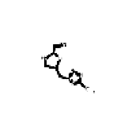 Cc1nnn(CC2CNC(C=O)O2)n1